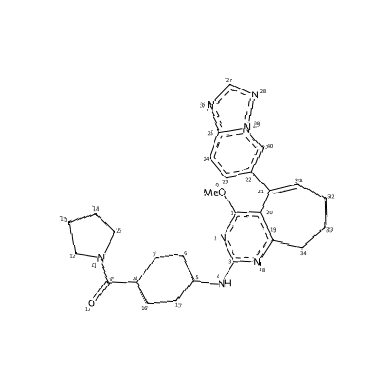 COc1nc(NC2CCC(C(=O)N3CCCC3)CC2)nc2c1C(c1ccc3ncnn3c1)=CCCC2